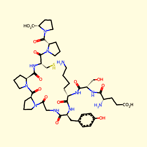 NCCCC[C@H](NC(=O)[C@H](CO)NC(=O)[C@@H](N)CCC(=O)O)C(=O)N[C@@H](Cc1ccc(O)cc1)C(=O)NCC(=O)N1CCC[C@H]1C(=O)N1CCC[C@H]1C(=O)N[C@@H](CS)C(=O)N1CCC[C@H]1C(=O)N1CCC[C@H]1C(=O)O